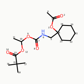 CC(=O)OC1(CNC(=O)OC(C)OC(=O)C(C)(C)C)CCCCC1